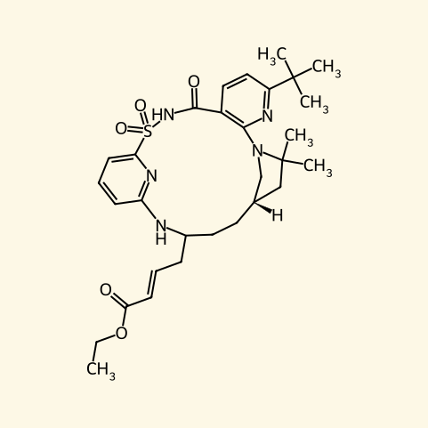 CCOC(=O)/C=C/CC1CC[C@@H]2CN(c3nc(C(C)(C)C)ccc3C(=O)NS(=O)(=O)c3cccc(n3)N1)C(C)(C)C2